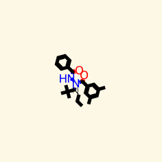 CCC[C@@H](N(NC(=O)c1ccccc1)C(=O)c1cc(C)cc(C)c1)C(C)(C)C